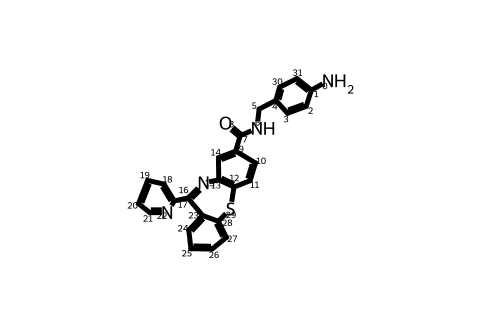 Nc1ccc(CNC(=O)c2ccc3c(c2)N=C(c2ccccn2)c2ccccc2S3)cc1